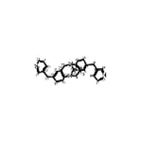 CC1(C)N2Cc3cc(Cc4cccnc4)ccc3N1Cc1cc(Cc3cccnc3)ccc12